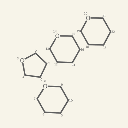 C1CCOC1.C1CCOCC1.C1CCOCC1.C1CCOCC1